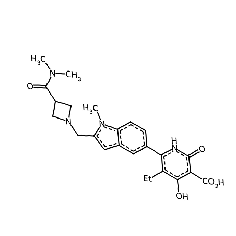 CCc1c(-c2ccc3c(c2)cc(CN2CC(C(=O)N(C)C)C2)n3C)[nH]c(=O)c(C(=O)O)c1O